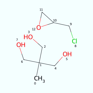 CC(CO)(CO)CO.ClCC1CO1